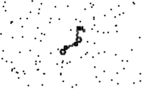 NCCCc1cccc(OCCCCOc2ccccc2)c1